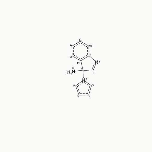 NC1(n2cccc2)C=Nc2ccccc21